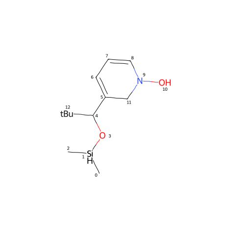 C[SiH](C)OC(C1=CC=CN(O)C1)C(C)(C)C